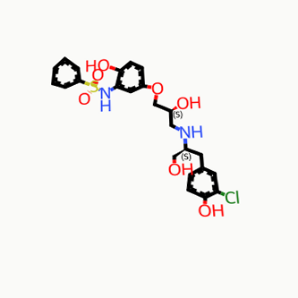 O=S(=O)(Nc1cc(OC[C@@H](O)CN[C@H](CO)Cc2ccc(O)c(Cl)c2)ccc1O)c1ccccc1